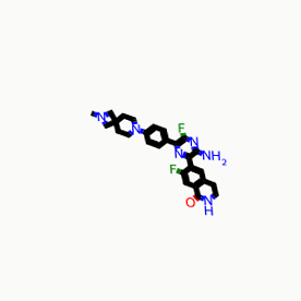 CN1CC2(CCN(c3ccc(-c4nc(-c5cc6c(cc5F)C(=O)NCC6)c(N)nc4F)cc3)CC2)C1